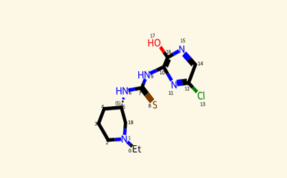 CCN1CCC[C@H](NC(=S)Nc2nc(Cl)cnc2O)C1